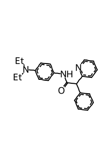 CCN(CC)c1ccc(NC(=O)C(c2ccccc2)c2ccccn2)cc1